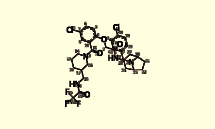 O=C(COc1ccc(Cl)cc1C(=O)N1CCCC(CNC(=O)C(F)(F)F)C1)NC1CC2CCC(C1)N2Cc1ccc(Cl)cc1